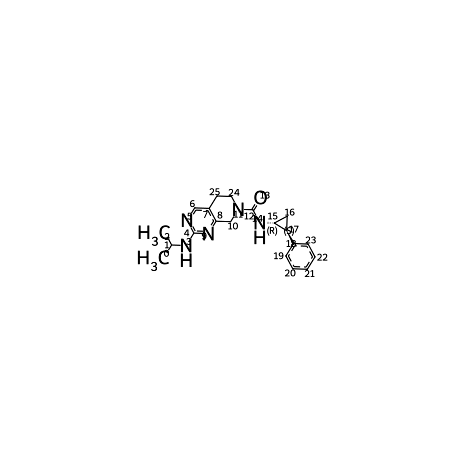 CC(C)Nc1ncc2c(n1)CN(C(=O)N[C@@H]1C[C@H]1c1ccccc1)CC2